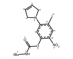 CC(C)(C)NC(=O)Oc1cc(N2CC=CC2)c(I)cc1[N+](=O)[O-]